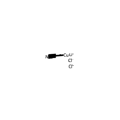 N#[C][Cu+].[Cl-].[Cl-].[Li+]